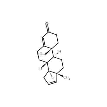 C[C@@]12C=CC[C@H]1[C@@H]1CCC3=CC(=O)CC[C@]3(CO)[C@H]1CC2